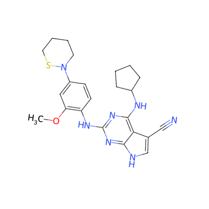 COc1cc(N2CCCCS2)ccc1Nc1nc(NC2CCCC2)c2c(C#N)c[nH]c2n1